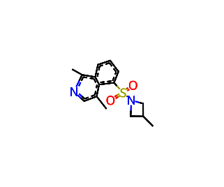 Cc1ncc(C)c2c(S(=O)(=O)N3CC(C)C3)cccc12